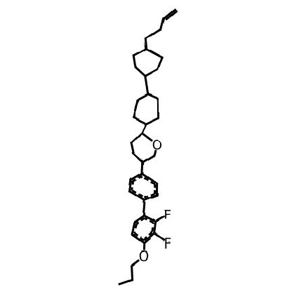 C=CCCC1CCC(C2CCC(C3CCC(c4ccc(-c5ccc(OCCC)c(F)c5F)cc4)CO3)CC2)CC1